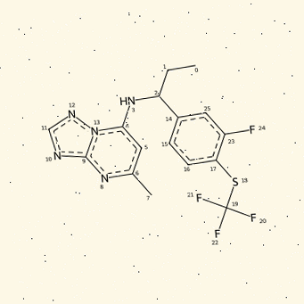 CCC(Nc1cc(C)nc2ncnn12)c1ccc(SC(F)(F)F)c(F)c1